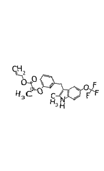 C=CCOC(=O)[C@H](C)Oc1cccc(Cc2c(C)[nH]c3ccc(OC(F)(F)F)cc23)c1